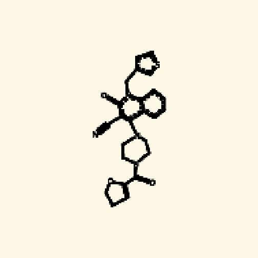 N#Cc1c(N2CCN(C(=O)C3=CCCO3)CC2)c2ccccc2n(Cc2ccsc2)c1=O